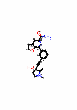 C=C1N(C)CC[C@@]1(O)C#Cc1cccc(-c2nc(C(N)=O)cc3c2OCC3)c1